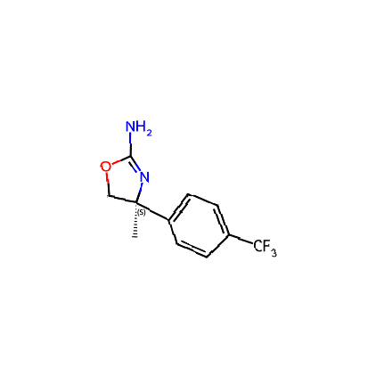 C[C@]1(c2ccc(C(F)(F)F)cc2)COC(N)=N1